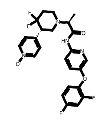 C[C@@H](C(=O)Nc1ccc(Oc2ccc(F)cc2F)cn1)N1CCC(F)(F)[C@@H](c2cc[n+]([O-])cc2)C1